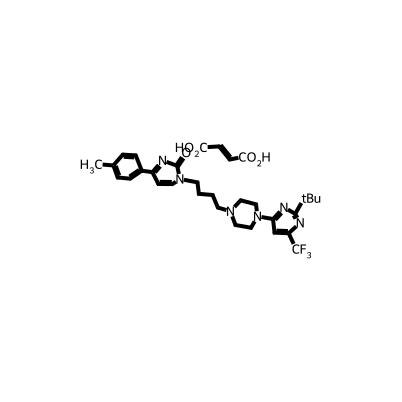 Cc1ccc(-c2ccn(CCCCN3CCN(c4cc(C(F)(F)F)nc(C(C)(C)C)n4)CC3)c(=O)n2)cc1.O=C(O)C=CC(=O)O